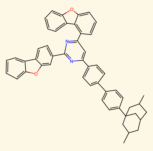 CC1CC2CC(C)CC(c3ccc(-c4ccc(-c5cc(-c6cccc7oc8ccccc8c67)nc(-c6ccc7c(c6)oc6ccccc67)n5)cc4)cc3)(C1)C2